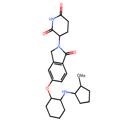 COC1CCCC1NC1CCCCC1Oc1ccc2c(c1)CN(C1CCC(=O)NC1=O)C2=O